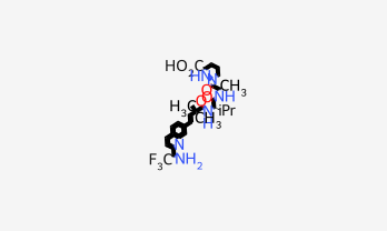 CC(C)[C@H](NC(=O)C(C)(C)/C=C/c1ccc2ccc([C@H](N)C(F)(F)F)nc2c1)C(=O)N[C@@H](C)C(=O)N1CCC[C@@H](C(=O)O)N1